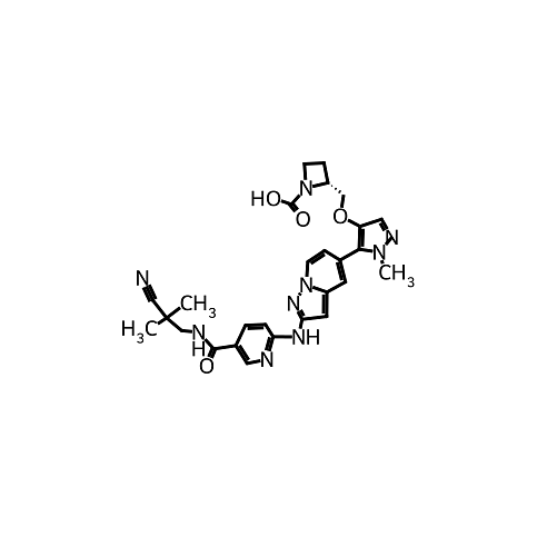 Cn1ncc(OC[C@H]2CCN2C(=O)O)c1-c1ccn2nc(Nc3ccc(C(=O)NCC(C)(C)C#N)cn3)cc2c1